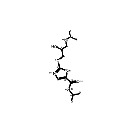 CC(C)NCC(O)COc1ncc(C(=O)NC(C)C)s1